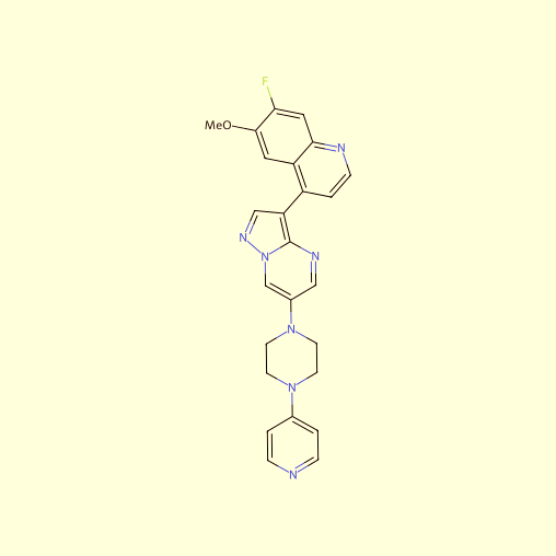 COc1cc2c(-c3cnn4cc(N5CCN(c6ccncc6)CC5)cnc34)ccnc2cc1F